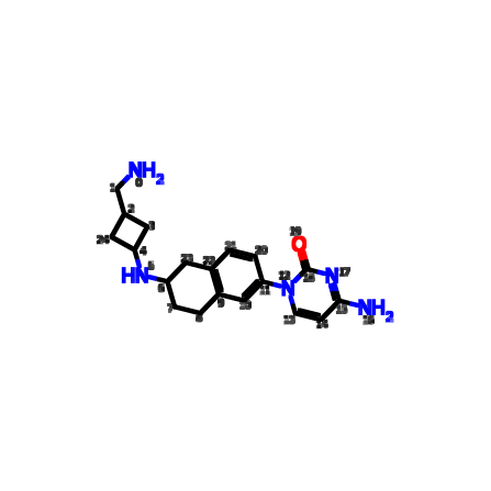 NCC1CC(NC2CCc3cc(-n4ccc(N)nc4=O)ccc3C2)C1